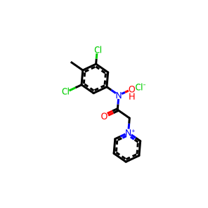 Cc1c(Cl)cc(N(O)C(=O)C[n+]2ccccc2)cc1Cl.[Cl-]